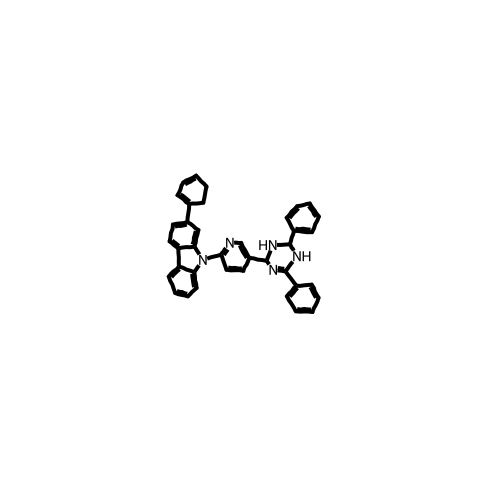 C1=CCCC(c2ccc3c4ccccc4n(-c4ccc(C5N=C(c6ccccc6)NC(c6ccccc6)N5)cn4)c3c2)=C1